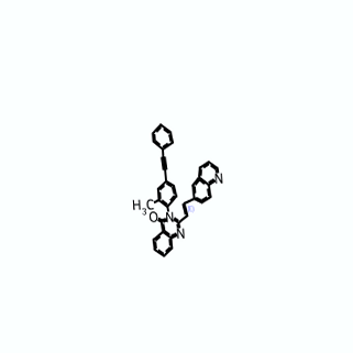 Cc1cc(C#Cc2ccccc2)ccc1-n1c(/C=C/c2ccc3ncccc3c2)nc2ccccc2c1=O